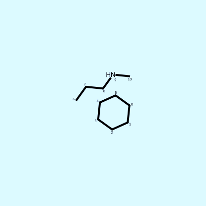 C1CCCCC1.CCCNC